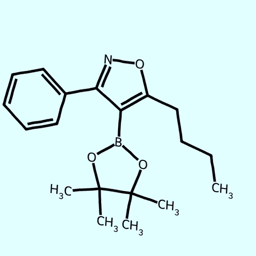 CCCCc1onc(-c2ccccc2)c1B1OC(C)(C)C(C)(C)O1